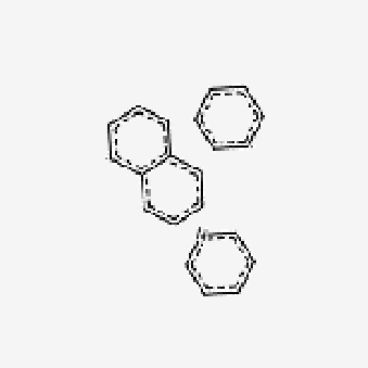 [c]1cccc2ccccc12.[c]1ccccc1.c1ccncc1